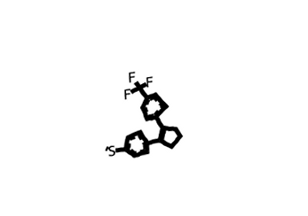 CSc1ccc(C2=C(c3ccc(C(F)(F)F)cc3)CCC2)cc1